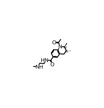 CNCCNC(=O)c1ccc2c(c1)C[C@@H](C)[C@H](C)N2C(C)=O